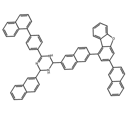 c1ccc2cc(-c3cc(-c4ccc5cc(C6NC(c7ccc(-c8cccc9ccccc89)cc7)=NC(c7ccc8ccccc8c7)N6)ccc5c4)c4c(c3)oc3ccccc34)ccc2c1